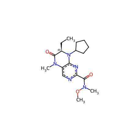 CC[C@@H]1C(=O)N(C)c2cnc(C(=O)N(C)OC)nc2N1C1CCCC1